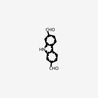 O=Cc1ccc2c(c1)[nH]c1cc(C=O)ccc12